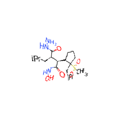 CC(C)C[C@@H](C(=O)NN)[C@H](C(=O)NO)C1CCCC1(CC(C)C)S(C)(=O)=O